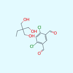 CCC(CO)(CO)CO.O=Cc1cc(C=O)c(Cl)cc1Cl